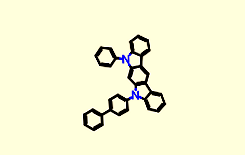 c1ccc(-c2ccc(-n3c4ccccc4c4cc5c6ccccc6n(-c6ccccc6)c5cc43)cc2)cc1